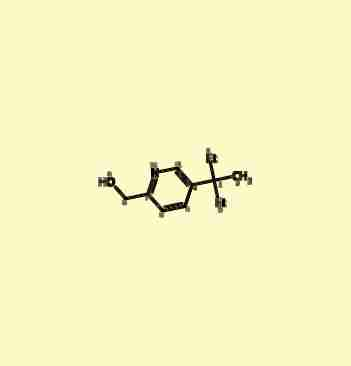 CCC(C)(CC)c1ccc(CO)nc1